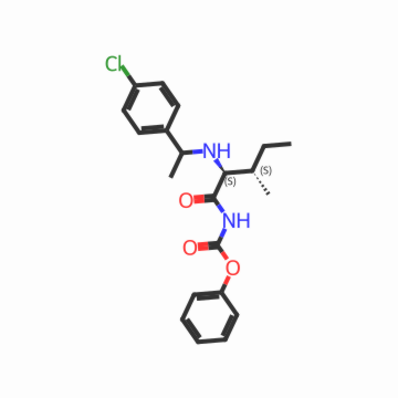 CC[C@H](C)[C@H](NC(C)c1ccc(Cl)cc1)C(=O)NC(=O)Oc1ccccc1